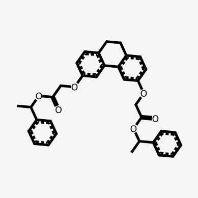 CC(OC(=O)COc1ccc2c(c1)-c1cc(OCC(=O)OC(C)c3ccccc3)ccc1CC2)c1ccccc1